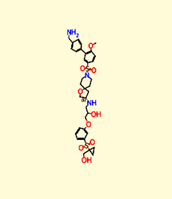 COc1ccc(S(=O)(=O)N2CCC3(CC2)C[C@H](NCC(O)COc2cccc(S(=O)(=O)C4(CO)CC4)c2)CO3)cc1-c1ccc(CN)cc1